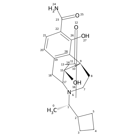 C[C@@H](C1CCC1)N1CC[C@]23CC(=O)CC[C@@]2(O)C1Cc1ccc(C(N)=O)c(O)c13